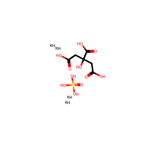 O=C(O)CC(O)(CC(=O)O)C(=O)O.O=P(O)(O)O.[KH].[KH].[KH].[KH]